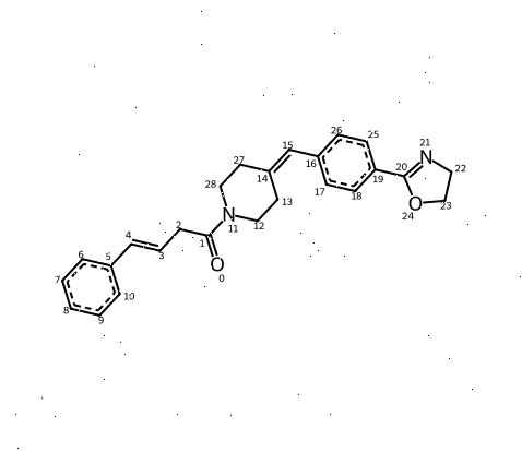 O=C(C/C=C/c1ccccc1)N1CCC(=Cc2ccc(C3=NCCO3)cc2)CC1